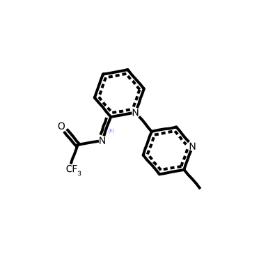 Cc1ccc(-n2cccc/c2=N\C(=O)C(F)(F)F)cn1